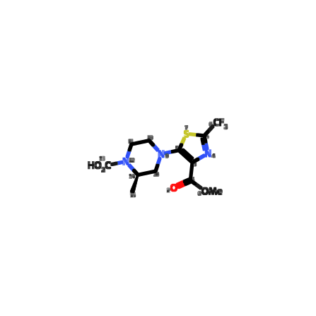 COC(=O)c1nc(C(F)(F)F)sc1N1CCN(C(=O)O)[C@H](C)C1